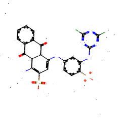 NC1=C(S(=O)(=O)O)C=C(Nc2ccc(S(=O)(=O)O)c(Nc3nc(Cl)nc(Cl)n3)c2)C2C(=O)c3ccccc3C(=O)C12